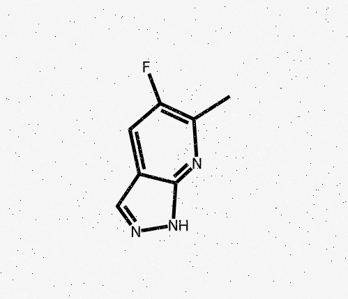 Cc1nc2[nH]ncc2cc1F